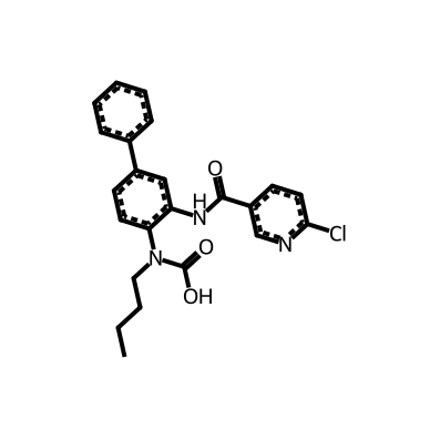 CCCCN(C(=O)O)c1ccc(-c2ccccc2)cc1NC(=O)c1ccc(Cl)nc1